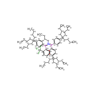 CCCCN(P(c1ccc([Si](CCCC)(CCCC)CCCC)cc1)c1ccc([Si](CCCC)(CCCC)CCCC)cc1)P(c1ccc([Si](CCCC)(CCCC)CCCC)cc1)c1ccccc1C(F)(F)F